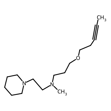 CC#CCCOCCCN(C)CCN1CCCCC1